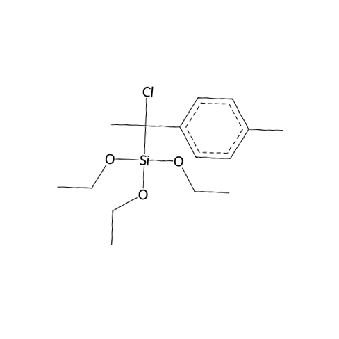 CCO[Si](OCC)(OCC)C(C)(Cl)c1ccc(C)cc1